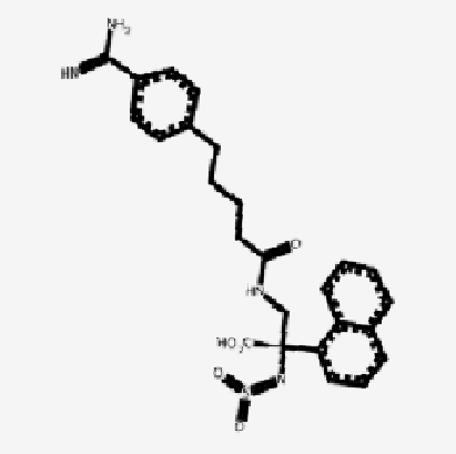 N=C(N)c1ccc(CCCCC(=O)NC[C@](N=S(=O)=O)(C(=O)O)c2cccc3ccccc23)cc1